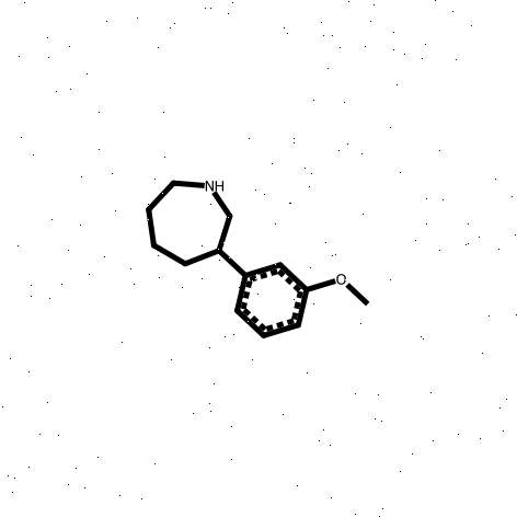 COc1cccc(C2CCCCNC2)c1